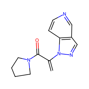 C=C(C(=O)N1CCCC1)n1ncc2cnccc21